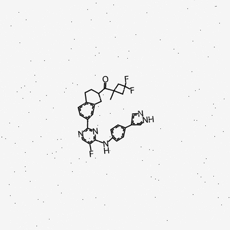 CC1(C(=O)C2CCc3ccc(-c4ncc(F)c(Nc5ccc(-c6cn[nH]c6)cc5)n4)cc3C2)CC(F)(F)C1